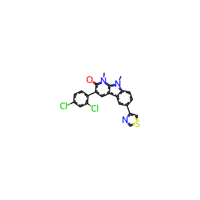 Cn1c(=O)c(-c2ccc(Cl)cc2Cl)cc2c3cc(-c4cscn4)ccc3n(C)c21